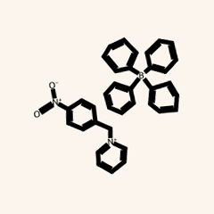 O=[N+]([O-])c1ccc(C[n+]2ccccc2)cc1.c1ccc([B-](c2ccccc2)(c2ccccc2)c2ccccc2)cc1